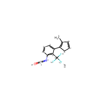 CC1=C(c2cccc(N=C=O)c2C(F)(F)F)CC=C1.[Ti]